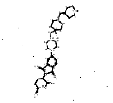 O=C1CCC(N2C(=O)c3ccc(N4CCN(CC5(F)CCN(CC6CCNCC6)CC5)CC4)cc3C2=O)C(=O)N1